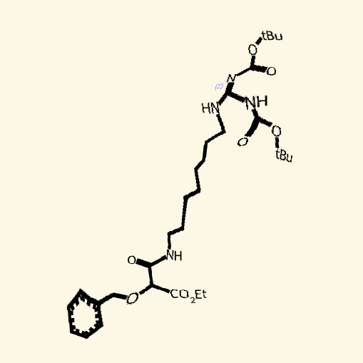 CCOC(=O)C(OCc1ccccc1)C(=O)NCCCCCCCCN/C(=N/C(=O)OC(C)(C)C)NC(=O)OC(C)(C)C